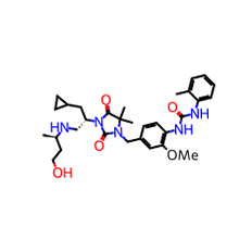 COc1cc(CN2C(=O)N([C@H](CN[C@H](C)CCO)CC3CC3)C(=O)C2(C)C)ccc1NC(=O)Nc1ccccc1C